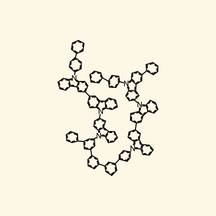 c1ccc(-c2ccc(-n3c4ccccc4c4cc(-c5ccc6c(c5)c5ccccc5n6-c5ccc6c(c5)c5ccccc5n6-c5cc(-c6ccccc6)cc(-c6cccc(-c7cccc(-c8ccc(-n9c%10ccccc%10c%10cc(-c%11ccc%12c(c%11)c%11ccccc%11n%12-c%11ccc%12c(c%11)c%11cc(-c%13ccccc%13)ccc%11n%12-c%11ccc(-c%12ccccc%12)cc%11)ccc%109)cc8)c7)c6)c5)ccc43)cc2)cc1